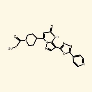 CC(C)(C)OC(=O)N1CCC(c2cc(=O)[nH]c3c(-c4nnc(-c5ccncc5)o4)cnn23)CC1